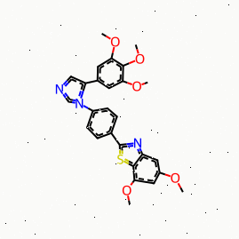 COc1cc(OC)c2sc(-c3ccc(-n4cncc4-c4cc(OC)c(OC)c(OC)c4)cc3)nc2c1